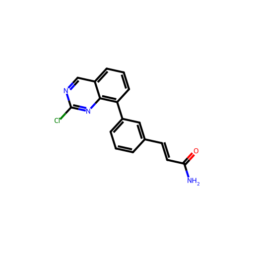 NC(=O)C=Cc1cccc(-c2cccc3cnc(Cl)nc23)c1